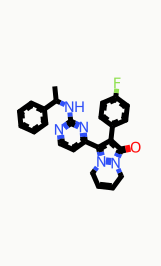 CC(Nc1nccc(-c2c(-c3ccc(F)cc3)c(=O)n3n2CC=CC3)n1)c1ccccc1